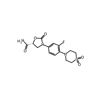 NC(=O)[C@H]1CN(c2ccc(N3CCS(=O)(=O)CC3)c(F)c2)C(=O)O1